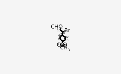 CS(=O)(=O)c1ccc(/C(Br)=C/C=O)cc1